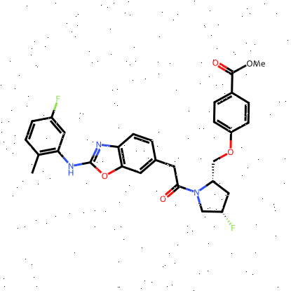 COC(=O)c1ccc(OC[C@@H]2C[C@H](F)CN2C(=O)Cc2ccc3nc(Nc4cc(F)ccc4C)oc3c2)cc1